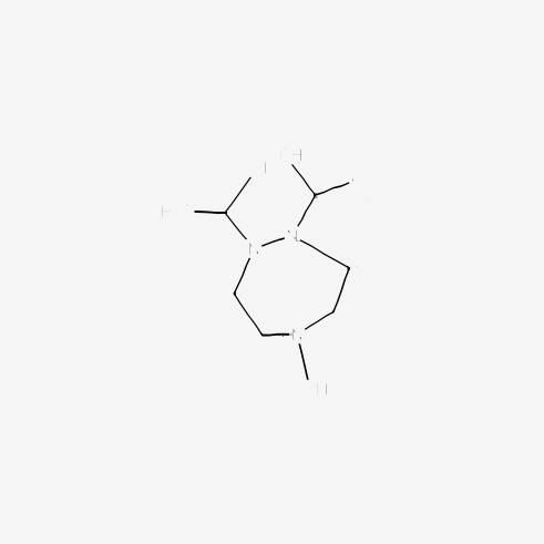 CC(C)N1CCN(C)CCN1C(C)C